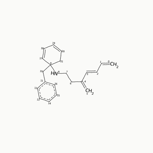 C=CC=CC(=C)CCNC1(Cc2ccccc2)C=CC=CC1